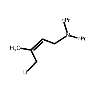 [Li][CH2]C(C)=CCN(CCC)CCC